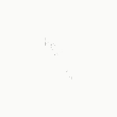 N#CC=CCCC1CCC(OC(=O)c2ccc(C(F)(F)F)cc2)CC1